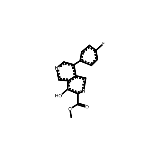 COC(=O)c1ncc2c(-c3ccc(F)cc3)cncc2c1O